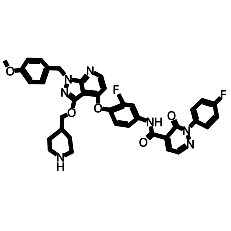 COc1ccc(Cn2nc(OCC3CCNCC3)c3c(Oc4ccc(NC(=O)c5ccnn(-c6ccc(F)cc6)c5=O)cc4F)ccnc32)cc1